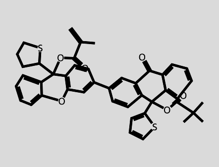 C=C(C)C(=O)OC1(C2CCCS2)c2ccccc2Oc2cc(-c3ccc4c(c3)C(=O)c3ccccc3C4(OC(=O)C(C)(C)C)c3cccs3)ccc21